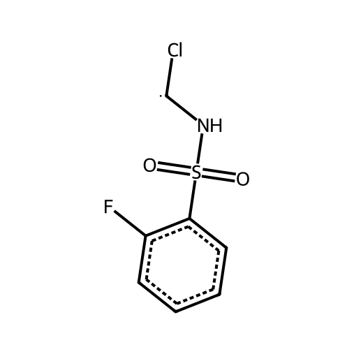 O=S(=O)(N[CH]Cl)c1ccccc1F